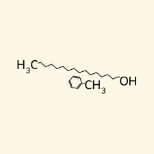 CCCCCCCCCCCCCCCCO.Cc1ccccc1